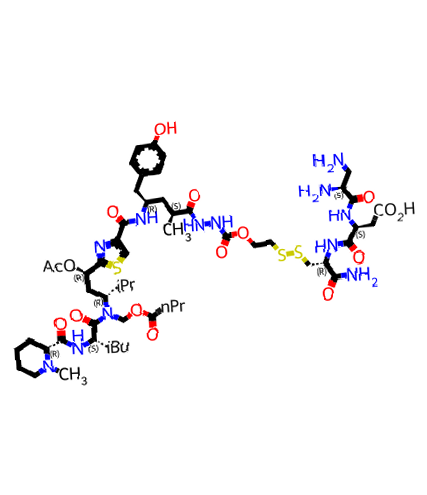 CCCC(=O)OCN(C(=O)[C@@H](NC(=O)[C@H]1CCCCN1C)C(C)CC)[C@H](C[C@@H](OC(C)=O)c1nc(C(=O)N[C@@H](Cc2ccc(O)cc2)C[C@H](C)C(=O)NNC(=O)OCCSSC[C@H](NC(=O)[C@H](CC(=O)O)NC(=O)[C@@H](N)CN)C(N)=O)cs1)C(C)C